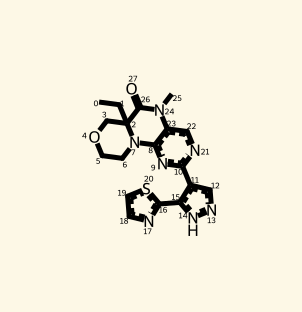 CCC12COCCN1c1nc(-c3cn[nH]c3-c3nccs3)ncc1N(C)C2=O